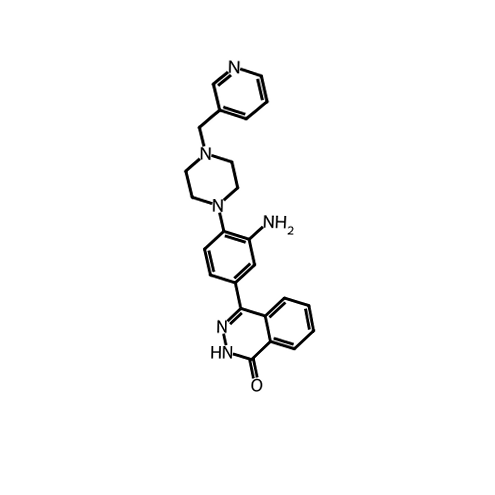 Nc1cc(-c2n[nH]c(=O)c3ccccc23)ccc1N1CCN(Cc2cccnc2)CC1